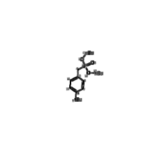 CCCCOP(=O)(Cc1ccc(C(C)(C)C)cc1)OCCCC